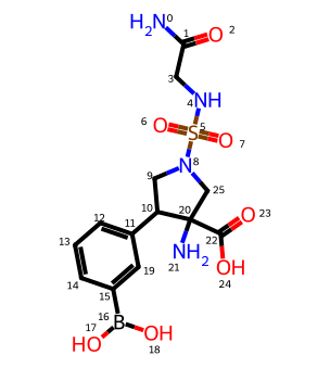 NC(=O)CNS(=O)(=O)N1CC(c2cccc(B(O)O)c2)C(N)(C(=O)O)C1